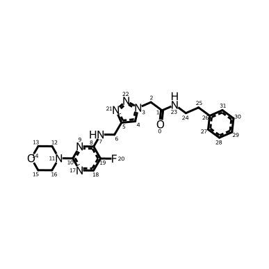 O=C(Cn1cc(CNc2nc(N3CCOCC3)ncc2F)nn1)NCCc1ccccc1